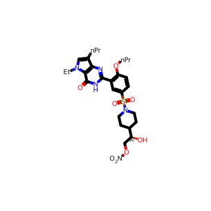 CCCOc1ccc(S(=O)(=O)N2CCC([C@@H](O)CO[N+](=O)[O-])CC2)cc1-c1nc2c(CCC)cn(CC)c2c(=O)[nH]1